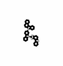 c1ccc2c(c1)ccc1c2c2ccccc2n1-c1ccc2c3ccccc3n(-c3nc4ccc5sc6ccccc6c5c4o3)c2c1